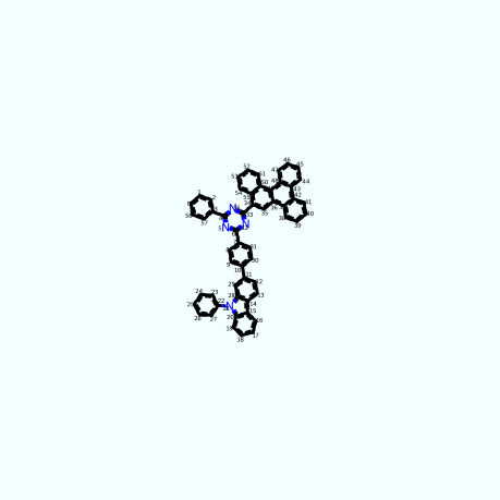 c1ccc(-c2nc(-c3ccc(-c4ccc5c6ccccc6n(-c6ccccc6)c5c4)cc3)nc(-c3cc4c5ccccc5c5ccccc5c4c4ccccc34)n2)cc1